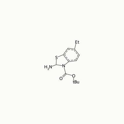 [CH2]Cc1ccc2c(c1)SC(N)N2C(=O)OC(C)(C)C